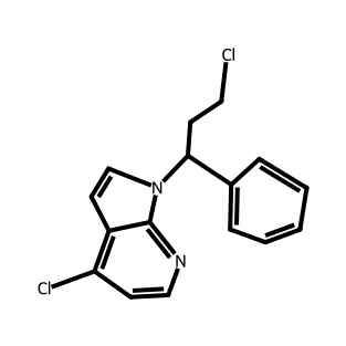 ClCCC(c1ccccc1)n1ccc2c(Cl)ccnc21